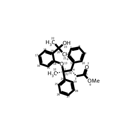 COC(=O)C[C@@H](c1ccccc1)[C@](C)(Oc1ccccc1C(C)(C)O)c1ccccc1